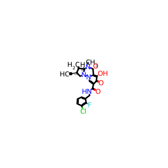 C#C[C@@H]1CN2[C@@H](C1=C)N(C)C(=O)c1c(O)c(=O)c(C(=O)NCc3cccc(Cl)c3F)cn12